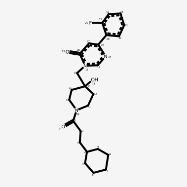 O=C(CCC1CCCCC1)N1CCC(O)(Cn2cnc(-c3ccccc3F)cc2=O)CC1